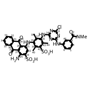 CNC(=O)c1cccc(Nc2nc(Cl)nc(Nc3c(C)c(Nc4cc(S(=O)(=O)O)c(N)c5c4C(=O)c4ccccc4C5=O)c(C)c(S(=O)(=O)O)c3C)n2)c1